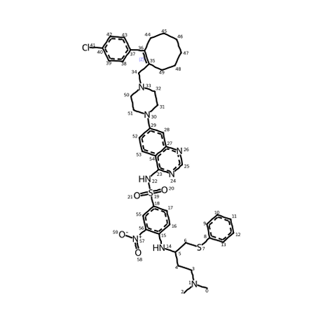 CN(C)CCC(CSc1ccccc1)Nc1ccc(S(=O)(=O)Nc2ncnc3cc(N4CCN(C/C5=C(\c6ccc(Cl)cc6)CCCCCC5)CC4)ccc23)cc1[N+](=O)[O-]